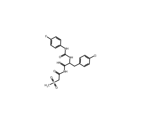 CS(=O)(=O)CC(=O)NC(=N)C(Cc1ccc(Cl)cc1)NC(=O)Nc1ccc(F)cc1